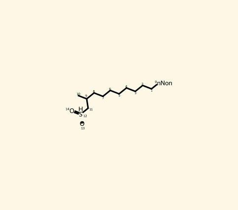 CCCCCCCCCCCCCCCCCC(C)C[SH](=O)=O